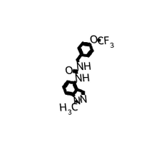 Cn1ncc2c(NC(=O)NCc3ccc(OC(F)(F)F)cc3)cccc21